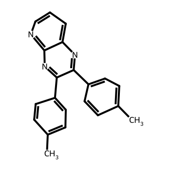 Cc1ccc(-c2nc3cccnc3nc2-c2ccc(C)cc2)cc1